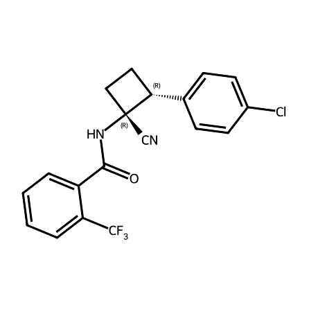 N#C[C@@]1(NC(=O)c2ccccc2C(F)(F)F)CC[C@@H]1c1ccc(Cl)cc1